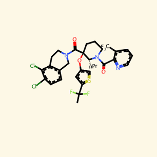 CCC[C@H]1N(C(=O)c2ncccc2C(F)(F)F)CCC[C@@]1(Oc1csc(C(C)(F)F)c1)C(=O)N1CCc2c(ccc(Cl)c2Cl)C1